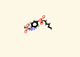 CCCCCS(=O)(=O)Oc1ccc(NS(C)(=O)=O)cc1